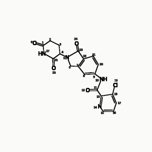 O=C1CCC(N2Cc3cc(NC(=O)c4ncccc4Cl)ccc3C2=O)C(=O)N1